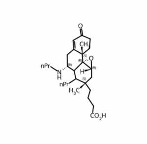 CCCN[C@@H]1CC2=CC(=O)CC[C@]2(C)[C@@]23O[C@@H]2C[C@](C)(CCCC(=O)O)C(CCC)C13